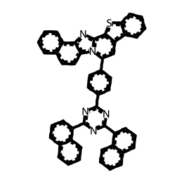 c1ccc2c(-c3nc(-c4ccc(-c5cc6c7ccccc7sc6c6nc7c8ccccc8ccc7n56)cc4)nc(-c4cccc5ccccc45)n3)cccc2c1